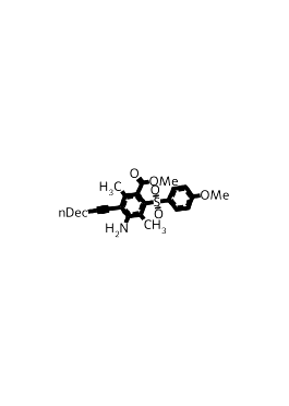 CCCCCCCCCCC#Cc1c(C)c(C(=O)OC)c(S(=O)(=O)c2ccc(OC)cc2)c(C)c1N